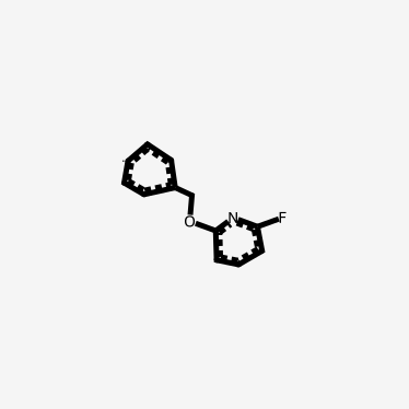 Fc1cccc(OCc2cc[c]cc2)n1